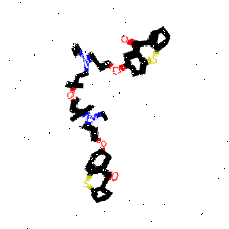 CCN(CCCOc1ccc2sc3ccccc3c(=O)c2c1)CCC(C)(C)OCCC(C)(C)N(CC)CCCOc1ccc2sc3ccccc3c(=O)c2c1